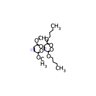 CCCCOC(=O)/C=C\C(=O)OCCCC.COC(=O)/C=C\C(=O)OC